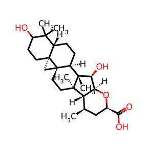 C[C@@H]1C[C@H](C(=O)O)O[C@H]2[C@H]1[C@@]1(C)CC[C@@]34C[C@@]35CCC(O)C(C)(C)[C@@H]5CC[C@H]4[C@]1(C)[C@H]2O